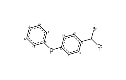 [CH2]CC(Br)c1ccc(Oc2ccccc2)cc1